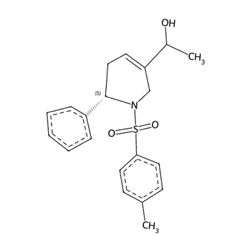 Cc1ccc(S(=O)(=O)N2CC(C(C)O)=CC[C@H]2c2ccccc2)cc1